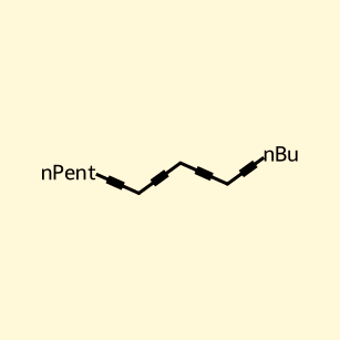 [CH2]CCCC#CCC#CCC#CCC#CCCCCC